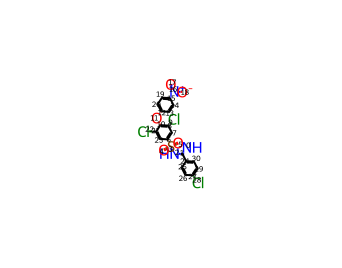 N=C(NS(=O)(=O)c1cc(Cl)c(Oc2ccc([N+](=O)[O-])cc2)c(Cl)c1)c1ccc(Cl)cc1